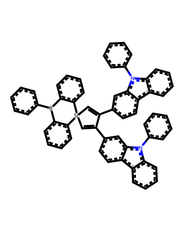 C1=C(c2ccc3c4ccccc4n(-c4ccccc4)c3c2)C(c2ccc3c4ccccc4n(-c4ccccc4)c3c2)=C[Si]12c1ccccc1B(c1ccccc1)c1ccccc12